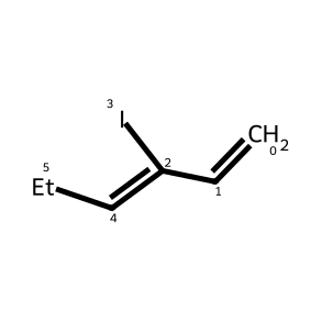 C=C/C(I)=C/CC